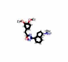 BN[C@@H]1CCc2c(-c3noc(Cc4ccc(OCC)c(OCC)c4)n3)cccc21